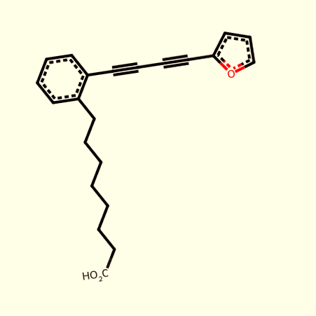 O=C(O)CCCCCCCc1ccccc1C#CC#Cc1ccco1